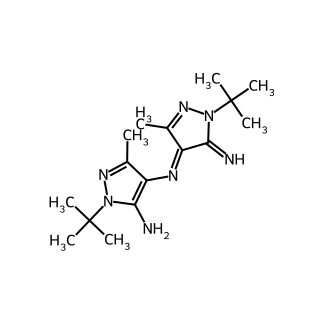 CC1=NN(C(C)(C)C)C(=N)C1=Nc1c(C)nn(C(C)(C)C)c1N